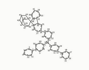 c1ccc(-c2ccc(N(c3ccc(-c4ccccc4)cc3)c3cccc(-c4ccc5c(c4)-c4ccccc4C54C5CC6CC(C5)CC4C6)c3)cc2)cc1